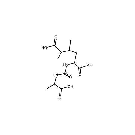 CC(NC(=O)NC(CC(C)C(C)C(=O)O)C(=O)O)C(=O)O